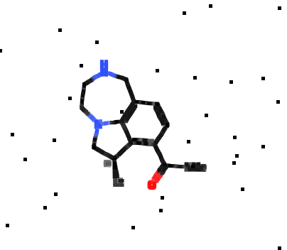 CC[C@H]1CN2CCNCc3ccc(C(=O)NC)c1c32